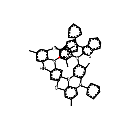 Cc1cc2c3c(c1)Oc1c(sc4ccccc14)B3c1cc3c(cc1N2)Oc1cc(C)cc2c1B3c1cc(B3c4sc5ccccc5c4N(c4ccccc4)c4cc(C)cc(C)c43)c(C)cc1N2c1ccccc1